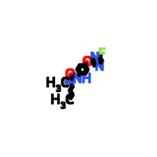 CCCCN(C)C(=O)Nc1ccc(Oc2cncc(F)n2)cc1